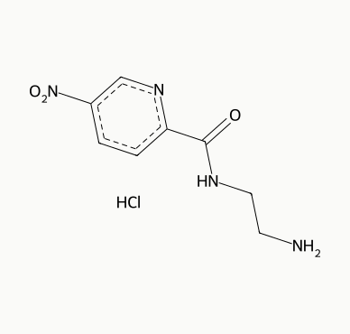 Cl.NCCNC(=O)c1ccc([N+](=O)[O-])cn1